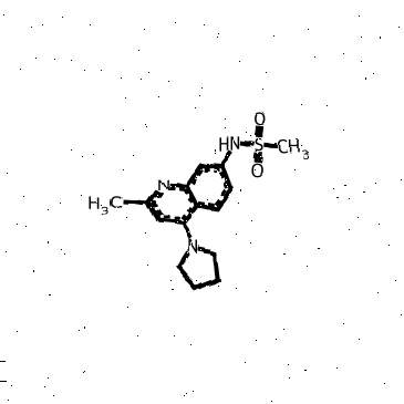 Cc1cc(N2CCCC2)c2ccc(NS(C)(=O)=O)cc2n1